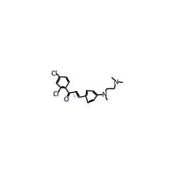 CN(C)CCN(C)c1ccc(/C=C/C(=O)c2ccc(Cl)cc2Cl)cc1